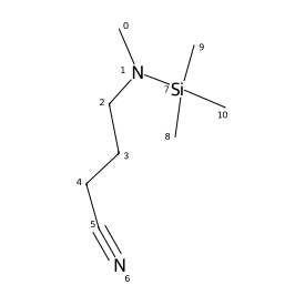 CN(CCCC#N)[Si](C)(C)C